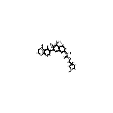 Cc1c(-c2cc3cc(NC(=O)OCC4(F)CCN(C)C4)ncc3c(N)c2F)cnc2c1NCCO2